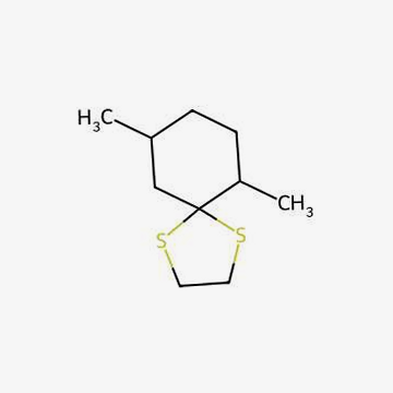 CC1CCC(C)C2(C1)SCCS2